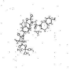 CC(C)(C)OC(=O)NC1(C(=O)Nc2ccc3c(c2)CC[C@@]32OC(=O)N(CC(=O)N3Cc4ccc(F)cc4CC[C@@H]3C3CC3)C2=O)CC1